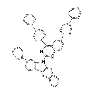 c1ccc(-c2ccc(-c3ccc4nc(-n5c6cc(-c7ccccc7)ccc6c6cc7ccccc7cc65)nc(-c5ccc(-c6ccccc6)cc5)c4c3)cc2)cc1